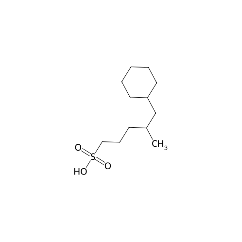 CC(CCCS(=O)(=O)O)CC1CCCCC1